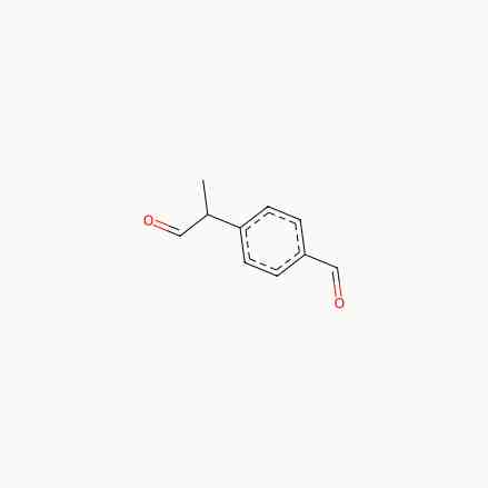 CC(C=O)c1ccc(C=O)cc1